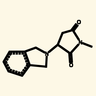 CN1C(=O)CC(N2Cc3ccccc3C2)C1=O